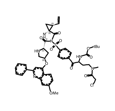 C=C[C@@H]1C[C@]1(N)C(=O)N(C(=O)[C@@H]1C[C@@H](Oc2cc(-c3ccccc3)nc3cc(OC)ccc23)CN1)S(=O)(=O)c1ccc(C(=O)C(CCN(C)C(=O)CCl)NC(=O)OC(C)(C)C)cc1